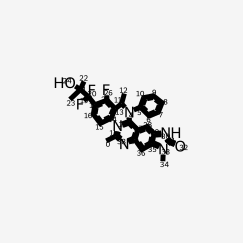 Cc1nc(N(c2ccccc2)C(C)c2cccc(C(F)(F)C(C)(C)O)c2F)c2cc3[nH]c(=O)n(C)c3cc2n1